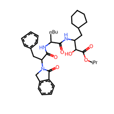 CCCCC(NC(=O)C(Cc1ccccc1)N1Cc2ccccc2C1=O)C(=O)NC(CC1CCCCC1)C(O)C(=O)OC(C)C